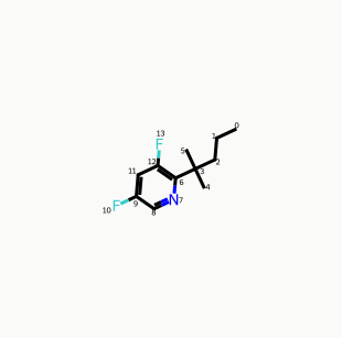 CCCC(C)(C)c1ncc(F)cc1F